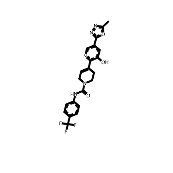 Cc1nnc(-c2cnc(C3=CCN(C(=O)Nc4ccc(C(F)(F)F)cc4)CC3)c(O)c2)o1